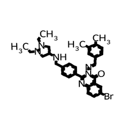 CCN1CC(NCc2ccc(-c3nc4ccc(Br)cc4c(=O)n3N=Cc3ccc(C)c(C)c3)cc2)CN1CC